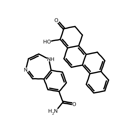 NC(=O)c1ccc2c(c1)C=NC=CN2.O=C1CCc2c3c(ccc2=C1O)=c1ccccc1=CC3